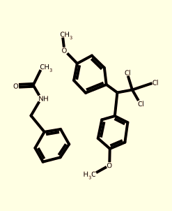 CC(=O)NCc1ccccc1.COc1ccc(C(c2ccc(OC)cc2)C(Cl)(Cl)Cl)cc1